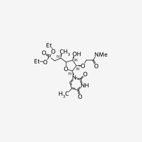 CCOP(=O)(C[C@@H](C)C1O[C@H](n2cc(C)c(=O)[nH]c2=O)[C@H](OCC(=O)NC)[C@@H]1O)OCC